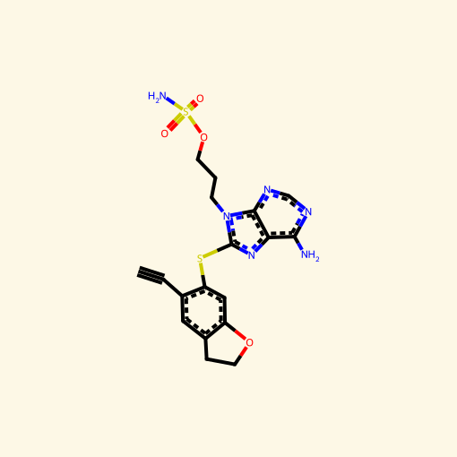 C#Cc1cc2c(cc1Sc1nc3c(N)ncnc3n1CCCOS(N)(=O)=O)OCC2